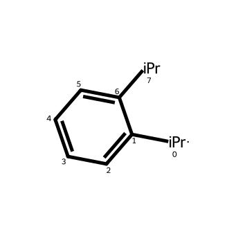 C[C](C)c1ccccc1C(C)C